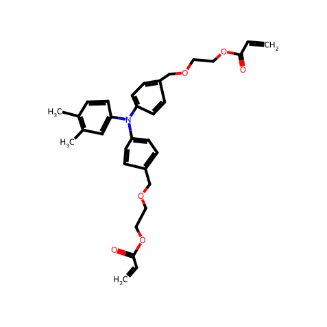 C=CC(=O)OCCOCc1ccc(N(c2ccc(COCCOC(=O)C=C)cc2)c2ccc(C)c(C)c2)cc1